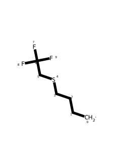 [CH2]CCCSCC(F)(F)F